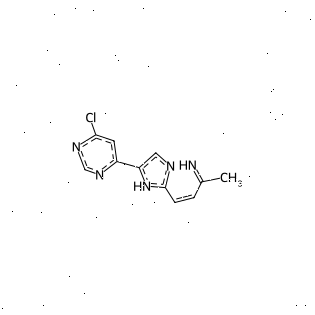 CC(=N)/C=C\c1ncc(-c2cc(Cl)ncn2)[nH]1